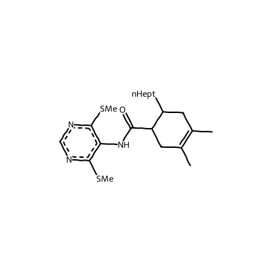 CCCCCCCC1CC(C)=C(C)CC1C(=O)Nc1c(SC)ncnc1SC